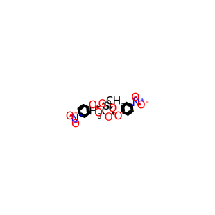 C[Si](C)(OC(=O)Oc1ccc([N+](=O)[O-])cc1)OC(=O)Oc1ccc([N+](=O)[O-])cc1